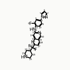 Fc1cc(-n2cccn2)ccc1Nc1cc2nc(C(F)(F)C3CCNCC3)ccc2cn1